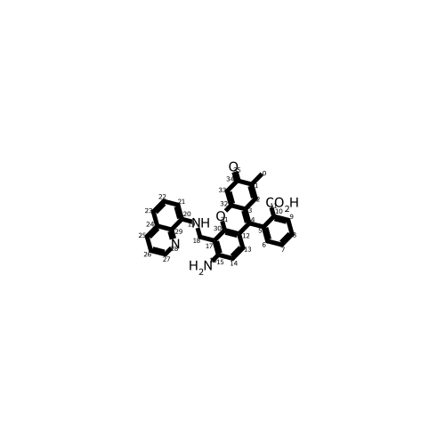 Cc1cc2c(-c3ccccc3C(=O)O)c3ccc(N)c(CNc4cccc5cccnc45)c3oc-2cc1=O